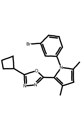 Cc1[c]c(C)n(-c2cccc(Br)c2)c1-c1nnc(C2CCC2)o1